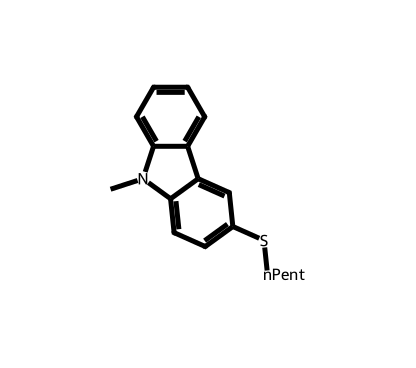 CCCCCSc1ccc2c(c1)c1ccccc1n2C